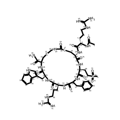 CC(=O)N[C@@H](CCCNC(=N)N)C(=O)N[C@H]1CCC(=O)NCCCC(C(N)=O)NC(=O)[C@H](Cc2c[nH]c3ccccc23)NC(=O)[C@H](CCCNC(=N)N)NC(=O)C(Cc2ccccc2)NC(=O)[C@H](CCS(C)(=O)=O)NC1=O